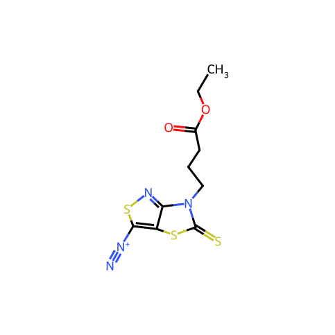 CCOC(=O)CCCn1c(=S)sc2c([N+]#N)snc21